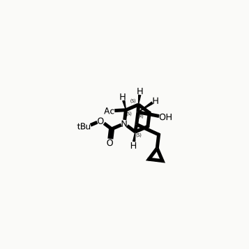 CC(=O)[C@@H]1[C@@H]2CC[C@@H](C(CC3CC3)[C@H]2O)N1C(=O)OC(C)(C)C